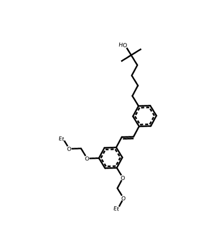 CCOCOc1cc(C=Cc2cccc(CCCCC(C)(C)O)c2)cc(OCOCC)c1